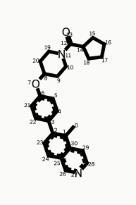 Cc1c(-c2ccc(OC3CCN(C(=O)C4CCCC4)CC3)cc2)ccc2cnccc12